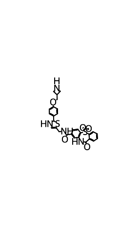 O=C(NCC1=CNC(c2ccc(OCC3CNC3)cc2)S1)c1ccc2c(c1)NC(=O)c1ccccc1S2(=O)=O